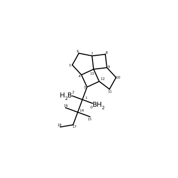 BC(B)(C1C2CCC3CC4CCC1C342)C(C)(C)CC